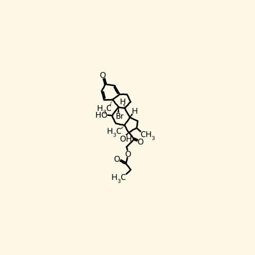 CCC(=O)OCC(=O)[C@@]1(O)C(C)C[C@H]2[C@@H]3CCC4=CC(=O)C=C[C@]4(C)[C@@]3(Br)C(O)C[C@@]21C